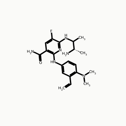 C=Cc1cc(Nc2nc(NC(C)[C@H](C)N)c(F)cc2C(N)=O)ccc1N(C)C